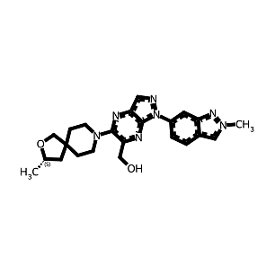 C[C@H]1CC2(CCN(c3nc4cnn(-c5ccc6cn(C)nc6c5)c4nc3CO)CC2)CO1